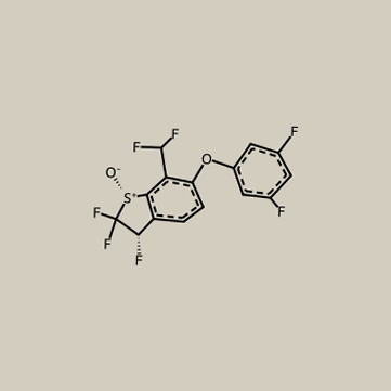 [O-][S@+]1c2c(ccc(Oc3cc(F)cc(F)c3)c2C(F)F)[C@H](F)C1(F)F